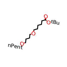 CCCCCOCCCCOCCCCCC(=O)OC(C)(C)C